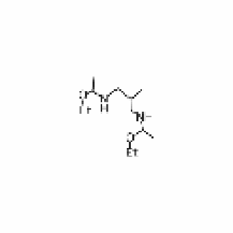 CCOC(C)NCC(C)CNC(C)OCC